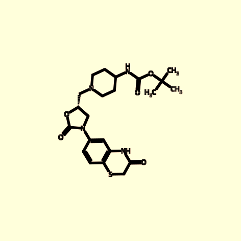 CC(C)(C)OC(=O)NC1CCN(C[C@@H]2CN(c3ccc4c(c3)NC(=O)CS4)C(=O)O2)CC1